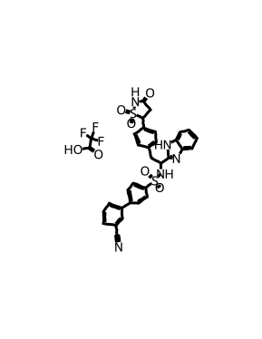 N#Cc1cccc(-c2ccc(S(=O)(=O)NC(Cc3ccc(C4CC(=O)NS4(=O)=O)cc3)c3nc4ccccc4[nH]3)cc2)c1.O=C(O)C(F)(F)F